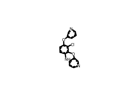 Nc1ccc(Oc2cccnc2)c(Cl)c1Oc1cccnc1